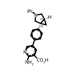 CC(C)N1C[C@H]2C[C@@]2(c2ccc(-c3cnc(N)c(C(=O)O)c3)cc2)C1